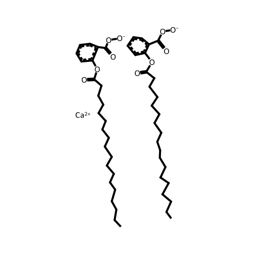 CCCCCCCCCCCCCCCCCC(=O)Oc1ccccc1C(=O)O[O-].CCCCCCCCCCCCCCCCCC(=O)Oc1ccccc1C(=O)O[O-].[Ca+2]